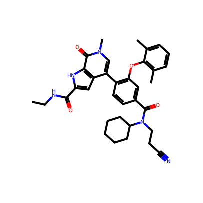 CCNC(=O)c1cc2c(-c3ccc(C(=O)N(CCC#N)C4CCCCC4)cc3Oc3c(C)cccc3C)cn(C)c(=O)c2[nH]1